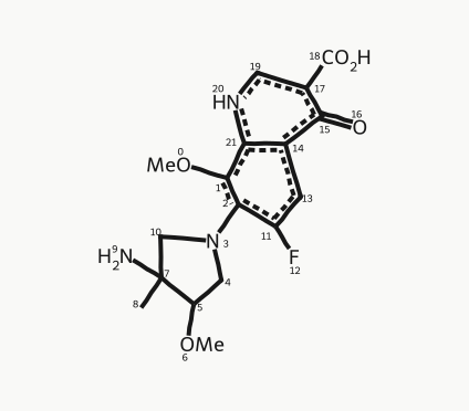 COc1c(N2CC(OC)C(C)(N)C2)c(F)cc2c(=O)c(C(=O)O)c[nH]c12